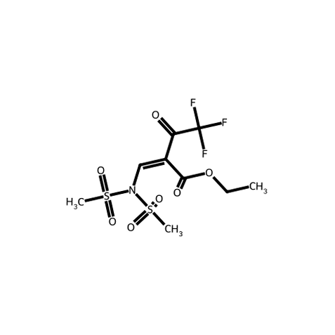 CCOC(=O)C(=CN(S(C)(=O)=O)S(C)(=O)=O)C(=O)C(F)(F)F